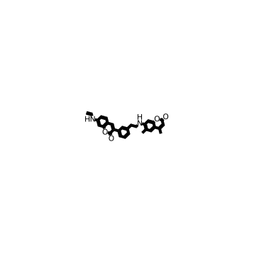 C=CNc1ccc2cc(-c3cccc(CCNc4cc5oc(=O)cc(C)c5cc4C)c3)c(=O)oc2c1